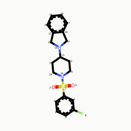 O=S(=O)(c1cccc(F)c1)N1CCC(N2Cc3ccccc3C2)CC1